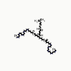 CC/C=C\C/C=C\C/C=C\C/C=C\C/C=C\CCCC(=O)OCCCCC(CCCCOC(=O)CCC/C=C\C/C=C\C/C=C\C/C=C\C/C=C\CC)NC(=O)C=CC(=O)NCCOCCN(C)C